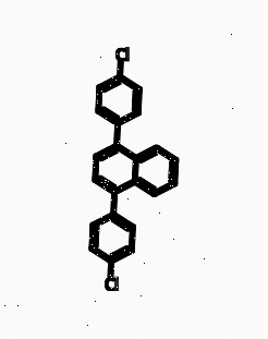 Clc1ccc(-c2ccc(-c3ccc(Cl)cc3)c3ccccc23)cc1